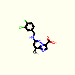 Cc1cc(NCc2ccc(Cl)c(Cl)c2)nn2c(C(=O)O)cnc12